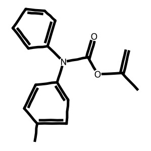 C=C(C)OC(=O)N(c1ccccc1)c1ccc(C)cc1